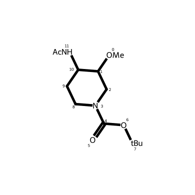 COC1CN(C(=O)OC(C)(C)C)CCC1NC(C)=O